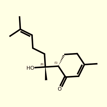 CC(C)=CCC[C@@](C)(O)[C@@H]1CCC(C)=CC1=O